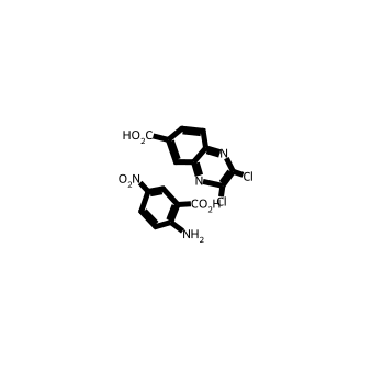 Nc1ccc([N+](=O)[O-])cc1C(=O)O.O=C(O)c1ccc2nc(Cl)c(Cl)nc2c1